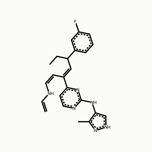 C=CN/C=C\C(=C/C(CC)c1cccc(F)c1)c1ccnc(Nc2c[nH]nc2C)n1